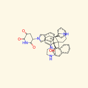 O=C1CC(n2cc3cccc(N4CCNCC4CC4([C@]5(c6cccc7ccccc67)C(O)=CCC[C@H]5c5ccccc5)CCNCC4)c3c2)C(=O)NC1=O